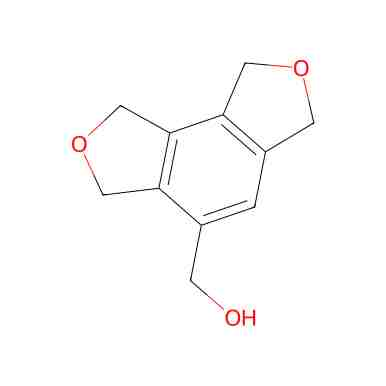 OCc1cc2c(c3c1COC3)COC2